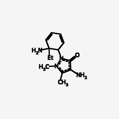 CCC1(N)C=CC=CC1n1c(=O)c(N)c(C)n1C